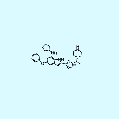 CC([C@H]1CSC(c2cc3cc(Oc4ccccc4)cc(NC4CCCC4)c3[nH]2)=N1)N1CCNCC1